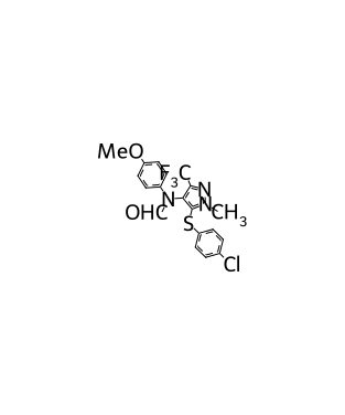 COc1ccc(N(C=O)c2c(C(F)(F)F)nn(C)c2Sc2ccc(Cl)cc2)cc1